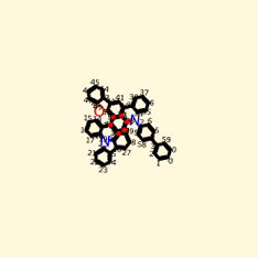 c1ccc(-c2ccc(N(c3ccc(-c4ccccc4-n4c5ccccc5c5ccccc54)cc3)c3ccccc3-c3cc4c5ccccc5oc4c4ccccc34)cc2)cc1